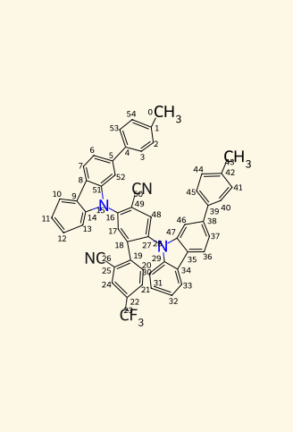 Cc1ccc(-c2ccc3c4ccccc4n(-c4cc(-c5ccc(C(F)(F)F)cc5C#N)c(-n5c6ccccc6c6ccc(-c7ccc(C)cc7)cc65)cc4C#N)c3c2)cc1